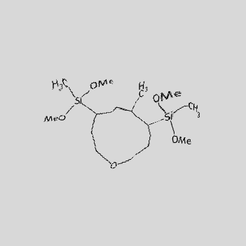 CO[Si](C)(OC)C1CCOCCC([Si](C)(OC)OC)C(C)C1